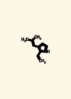 C=Cc1[nH]ccc1C=C(C)C